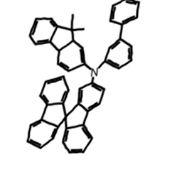 CC1(C)c2ccccc2C2C=CC(N(c3cccc(-c4ccccc4)c3)c3ccc4c(c3)C3(c5ccccc5-c5ccccc53)c3ccccc3-4)=CC21